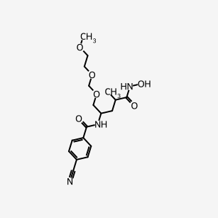 COCCOCOCC(CC(C)C(=O)NO)NC(=O)c1ccc(C#N)cc1